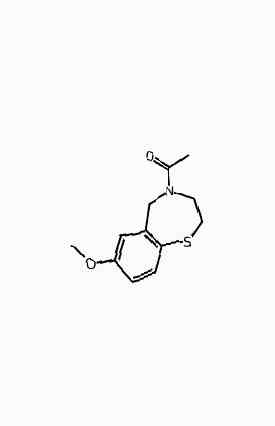 COc1ccc2c(c1)CN(C(C)=O)CCS2